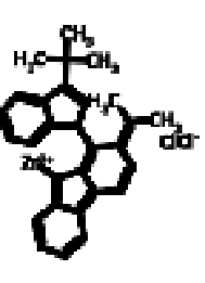 CC(C)=c1ccc2c(c1C1C=C(C(C)(C)C)c3ccccc31)[C]([Zr+2])=c1ccccc1=2.[Cl-].[Cl-]